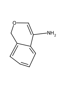 NC1=COCc2ccccc21